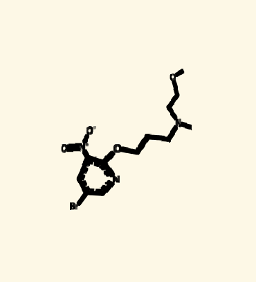 COCCN(C)CCCOc1ncc(Br)cc1[N+](=O)[O-]